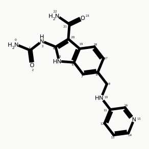 NC(=O)Nc1[nH]c2cc(CNc3cccnc3)ccc2c1C(N)=O